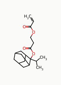 C=CC(=O)OCCC(=O)OC1(C(C)C)C2CC3CC(C2)CC1C3